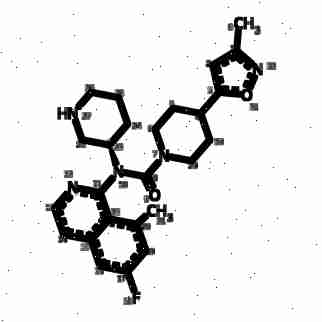 Cc1cc(C2CCN(C(=O)N(c3nccc4cc(F)cc(C)c34)[C@@H]3CCCNC3)CC2)on1